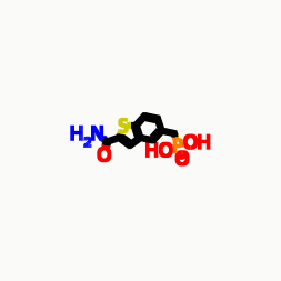 NC(=O)c1cc2cc(CP(=O)(O)O)ccc2s1